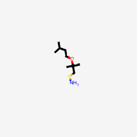 CC(C)CCOC(C)(C)CSN